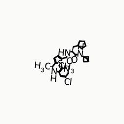 Cc1ncc(Cl)cc1N[C@H](C)c1ccc(C(=O)N[C@@H](CC2CCCC2)C(=O)NC23CC(C2)C3)s1